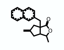 C=C1CC2C(C)OC(=O)C2(Cc2ccc3ccccc3c2)C1